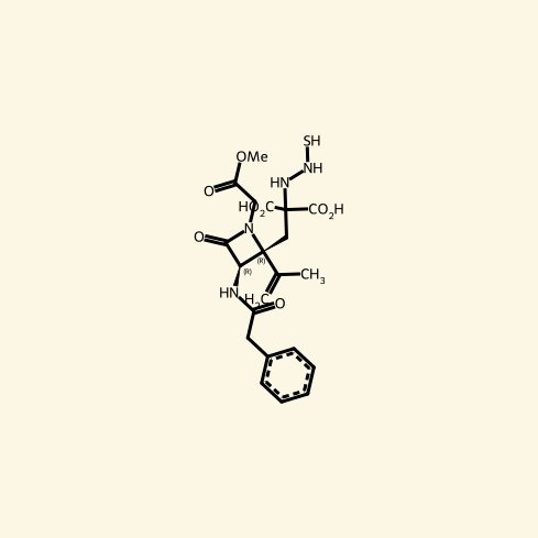 C=C(C)[C@]1(CC(NNS)(C(=O)O)C(=O)O)[C@@H](NC(=O)Cc2ccccc2)C(=O)N1CC(=O)OC